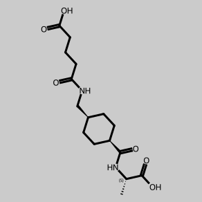 C[C@H](NC(=O)[C@H]1CC[C@@H](CNC(=O)CCCC(=O)O)CC1)C(=O)O